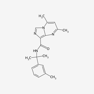 Cc1cccc(C(C)(C)NC(=O)c2ncn3c(C)cc(C)nc23)c1